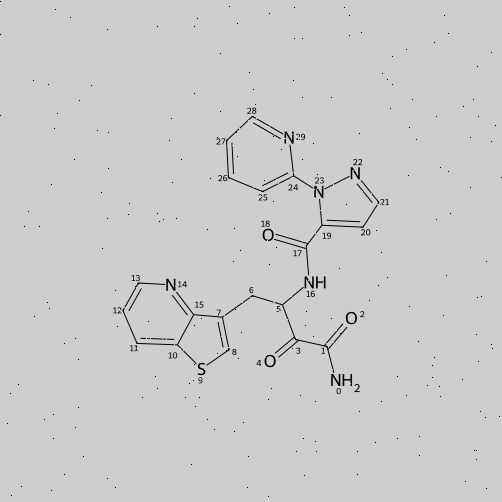 NC(=O)C(=O)C(Cc1csc2cccnc12)NC(=O)c1ccnn1-c1ccccn1